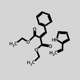 C=Cc1ccc[nH]1.CCOC(=O)C(=Cc1ccccc1)C(=O)OCC